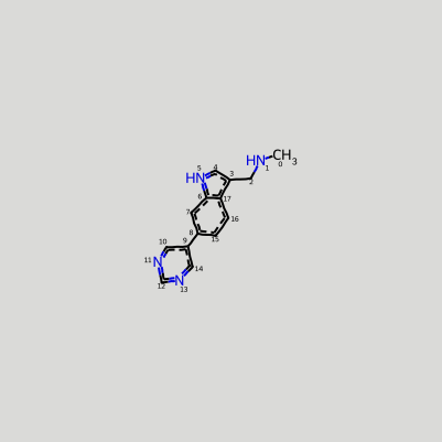 CNCc1c[nH]c2cc(-c3cncnc3)ccc12